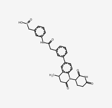 CC1CC(=O)N(C2CCC(=O)NC2=O)c2ccc(-c3cccc(CC(=O)Nc4cccc(CS(=O)O)c4)c3)cc21